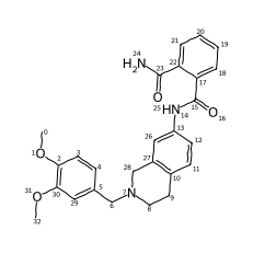 COc1ccc(CN2CCc3ccc(NC(=O)c4ccccc4C(N)=O)cc3C2)cc1OC